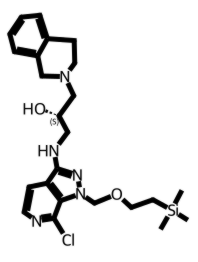 C[Si](C)(C)CCOCn1nc(NC[C@H](O)CN2CCc3ccccc3C2)c2ccnc(Cl)c21